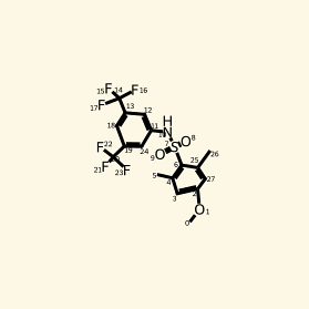 COc1cc(C)c(S(=O)(=O)Nc2cc(C(F)(F)F)cc(C(F)(F)F)c2)c(C)c1